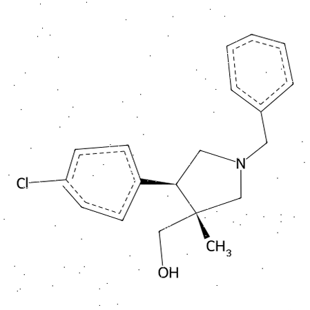 C[C@]1(CO)CN(Cc2ccccc2)C[C@@H]1c1ccc(Cl)cc1